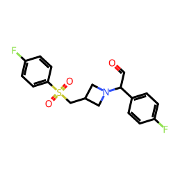 O=CC(c1ccc(F)cc1)N1CC(CS(=O)(=O)c2ccc(F)cc2)C1